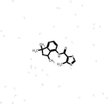 Cc1ncsc1C(=O)Nc1cccc2c1C(C)CC2(C)C